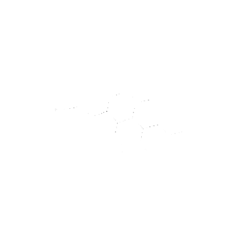 O=C(O)OCC(OC(=O)O)C(OC(=O)O)C(OC(=O)O)C(COC(=O)O)OC(=O)O